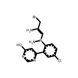 N/C(=C\N(N)c1ccc(Cl)cc1-c1cc(O)ncn1)CBr